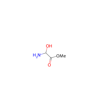 COC(=O)C(N)O